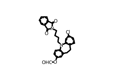 O=COc1ccc2c(c1)CCc1ccc(Cl)cc1N2CCCCN1C(=O)c2ccccc2C1=O